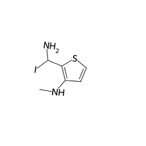 CNc1ccsc1C(N)I